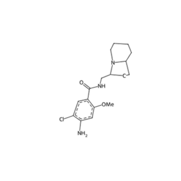 COc1cc(N)c(Cl)cc1C(=O)NCC1CCC2CCCCN21